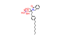 CCCCCCCCc1ccc(CC[C@](CO)(COP(=O)(O)O)N2Cc3ccccc3C2=O)cc1